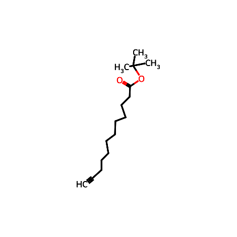 C#CCCCCCCCCCC(=O)OC(C)(C)C